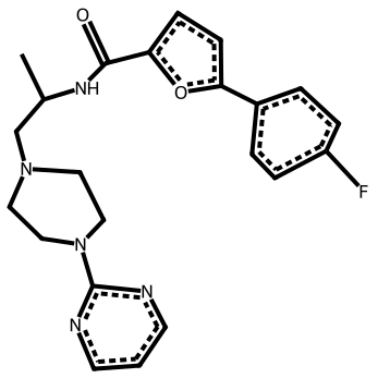 CC(CN1CCN(c2ncccn2)CC1)NC(=O)c1ccc(-c2ccc(F)cc2)o1